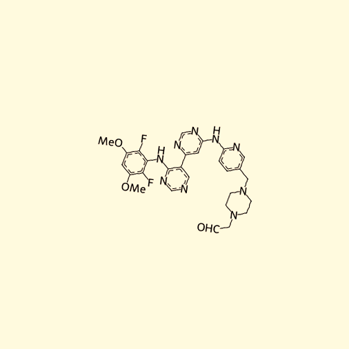 COc1cc(OC)c(F)c(Nc2ncncc2-c2cc(Nc3ccc(CN4CCN(CC=O)CC4)cn3)ncn2)c1F